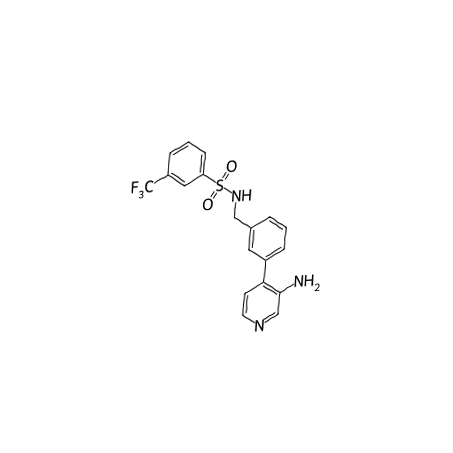 Nc1cnccc1-c1cccc(CNS(=O)(=O)c2cccc(C(F)(F)F)c2)c1